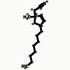 CCCCCCCCN1C=C[N+](C)(SC#N)C1